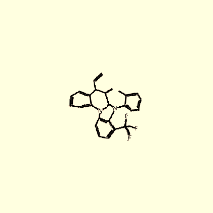 C=CC1c2ccccc2N2c3cccc(C(F)(F)F)c3N(c3ccccc3C)C2C1C